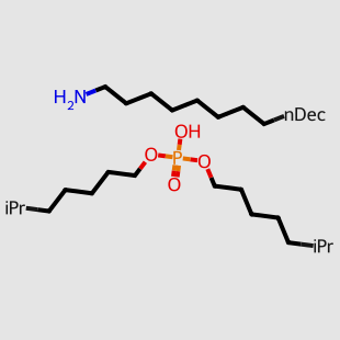 CC(C)CCCCCOP(=O)(O)OCCCCCC(C)C.CCCCCCCCCCCCCCCCCCN